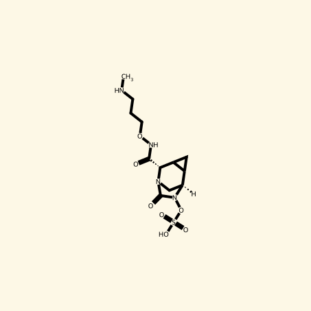 CNCCCONC(=O)[C@@H]1C2CC2[C@@H]2CN1C(=O)N2OS(=O)(=O)O